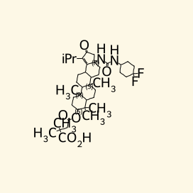 CC(C)C1=C2C3CCC4[C@@](C)(CCC5C(C)(C)[C@@H](OC(=O)CC(C)(C)C(=O)O)CC[C@@]54C)C3CC[C@@]2(NC(=O)NC2CCC(F)(F)CC2)CC1=O